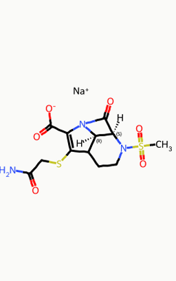 CS(=O)(=O)N1CCC2C(SCC(N)=O)=C(C(=O)[O-])N3C(=O)[C@@H]1[C@@H]23.[Na+]